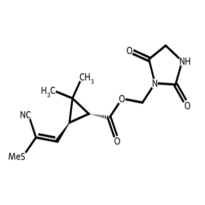 CS/C(C#N)=C/[C@@H]1[C@@H](C(=O)OCN2C(=O)CNC2=O)C1(C)C